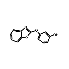 Oc1cccc(Oc2nc3ccccc3s2)c1